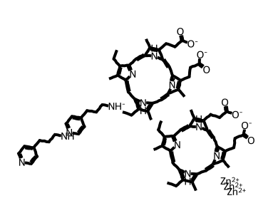 CCC1=C(C)c2cc3[nH]c(cc4nc(cc5[nH]c(cc1n2)c(C)c5CCC(=O)[O-])C(CCC(=O)[O-])=C4C)c(C)c3CC.CCC1=C(C)c2cc3[nH]c(cc4nc(cc5[nH]c(cc1n2)c(C)c5CCC(=O)[O-])C(CCC(=O)[O-])=C4C)c(C)c3CC.[NH-]CCCc1ccncc1.[NH-]CCCc1ccncc1.[Zn+2].[Zn+2].[Zn+2]